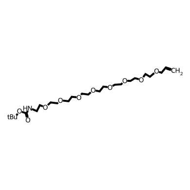 C=CCOCCOCCOCCOCCOCCOCCOCCOCCNC(=O)OC(C)(C)C